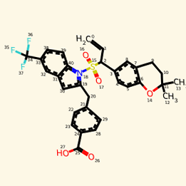 C=CC(c1ccc2c(c1)CCC(C)(C)O2)S(=O)(=O)n1c(Cc2ccc(C(=O)O)cc2)cc2cc(C(F)(F)F)ccc21